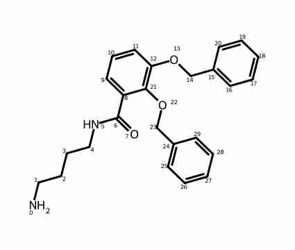 NCCCCNC(=O)c1cccc(OCc2ccccc2)c1OCc1ccccc1